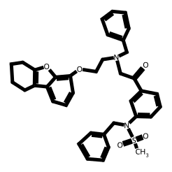 CS(=O)(=O)N(Cc1ccccc1)c1cccc(C(=O)CN(CCOc2cccc3c4c(oc23)CCCC4)Cc2ccccc2)c1